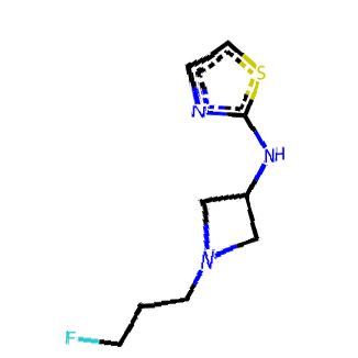 FCCCN1CC(Nc2nccs2)C1